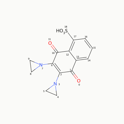 O=C1C(N2CC2)=C(N2CC2)C(=O)c2c1cccc2S(=O)(=O)O